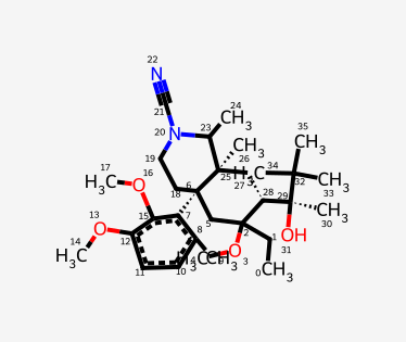 CCC1(OC)C[C@@]2(c3c(C)ccc(OC)c3OC)CCN(C#N)C(C)[C@@]2(C)C[C@@H]1[C@](C)(O)C(C)(C)C